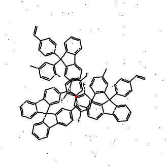 C=Cc1ccc(C2(c3cc(C)ccc3C)c3ccccc3-c3ccc(N(c4ccc5c(c4)C4(c6ccccc6-5)c5ccccc5-c5ccc(N(c6ccc7c(c6)C(c6ccc(C=C)cc6)(c6cc(C)ccc6C)c6ccccc6-7)c6cc(F)ccc6F)cc54)c4cc(F)ccc4F)cc32)cc1